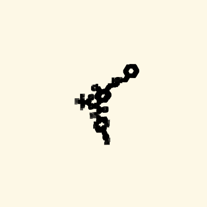 N#Cc1cnc(NC(=O)N(OC(=O)C(F)(F)F)c2ccc(CCNCC3CCCCC3)c(Cl)c2)cn1